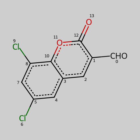 O=Cc1cc2cc(Cl)cc(Cl)c2oc1=O